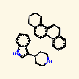 C1=c2c(ccc3c2=CCc2ccccc2-3)CCC1.c1ccc2c(C3CCNCC3)c[nH]c2c1